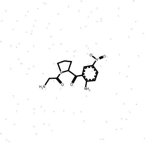 NCC(=O)N1CCCC1C(=O)c1cc([N+](=O)[O-])ccc1N